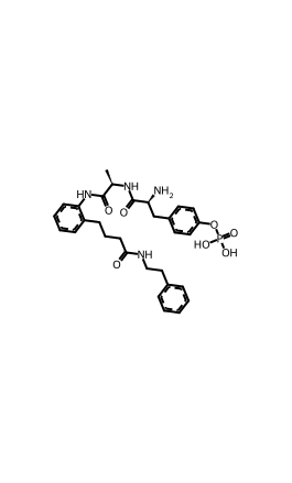 C[C@@H](NC(=O)[C@@H](N)Cc1ccc(OP(=O)(O)O)cc1)C(=O)Nc1ccccc1CCCC(=O)NCCc1ccccc1